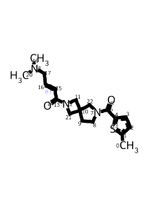 Cc1ccc(C(=O)N2CCC3(CN(C(=O)/C=C/CN(C)C)C3)C2)s1